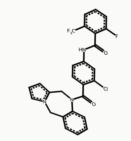 O=C(Nc1ccc(C(=O)N2Cc3cccn3Cc3ccccc32)c(Cl)c1)c1c(F)cccc1C(F)(F)F